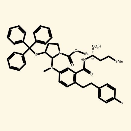 CSCC[C@H](NC(=O)c1cc(N(C)C2C(SC(c3ccccc3)(c3ccccc3)c3ccccc3)CCN2C(=O)OC(C)(C)C)ccc1CCc1ccc(F)cc1)C(=O)O